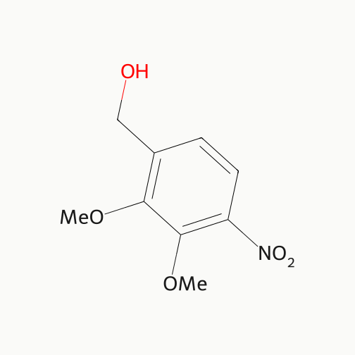 COc1c(CO)ccc([N+](=O)[O-])c1OC